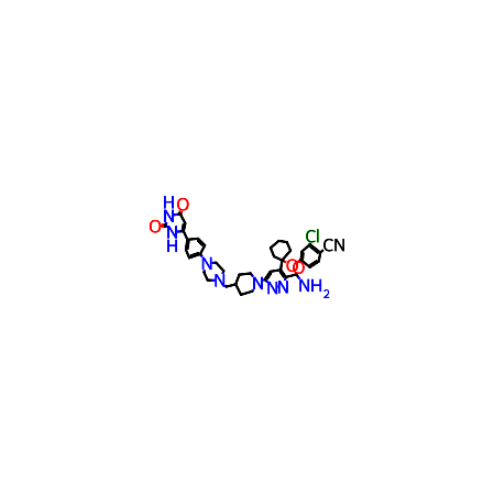 N#Cc1ccc(OC2(c3cc(N4CCC(CN5CCN(c6ccc(-c7cc(=O)[nH]c(=O)[nH]7)cc6)CC5)CC4)nnc3C(N)=O)CCCCC2)cc1Cl